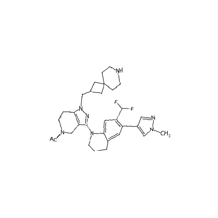 CC(=O)N1CCc2c(c(N3CCCc4cc(-c5cnn(C)c5)c(C(F)F)cc43)nn2CC2CC3(CCNCC3)C2)C1